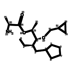 CC[C@H](CC1CCCC1)[C@@H](OCC1CC1)[C@H](C)OC(=O)[C@H](C)N